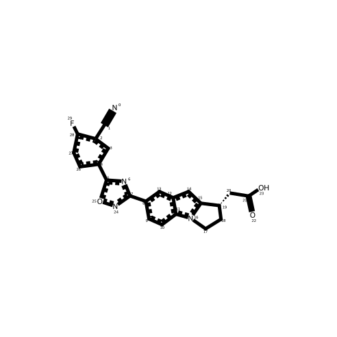 N#Cc1cc(-c2nc(-c3ccc4c(c3)cc3n4CC[C@H]3CC(=O)O)no2)ccc1F